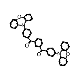 O=C(c1ccc(N2c3ccccc3Oc3ccccc32)cc1)c1cccc(C(=O)c2ccc(N3c4ccccc4Oc4ccccc43)cc2)c1